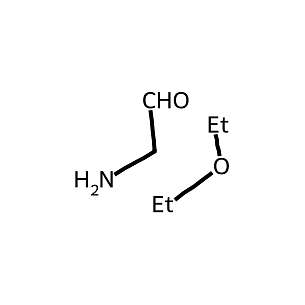 CCOCC.NCC=O